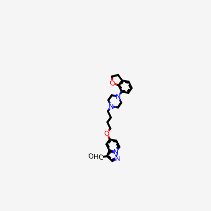 O=Cc1cnn2ccc(OCCCCN3CCN(c4cccc5c4OCC5)CC3)cc12